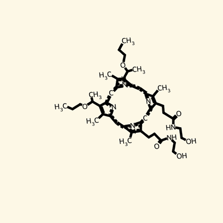 CCCOC(C)C1=C(C)c2cc3[nH]c(cc4nc(cc5[nH]c(cc1n2)c(C)c5C(C)OCCC)C(C)=C4CCC(=O)NCCO)c(CCC(=O)NCCO)c3C